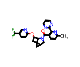 Cc1ccc(C(=O)N2CC3CC34CC(Oc3ccc(C(F)F)cn3)C24)c(-c2ncccn2)n1